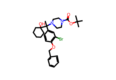 CC(C)(C)OC(=O)N1CCN(C(C)(c2ccc(OCc3ccccc3)c(Br)c2)C2(O)CCCCC2)CC1